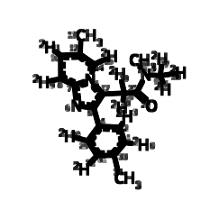 [2H]c1c([2H])c(-c2nc3c([2H])c([2H])c(C)c([2H])n3c2C([2H])([2H])C(=O)N(C)C([2H])([2H])[2H])c([2H])c([2H])c1C